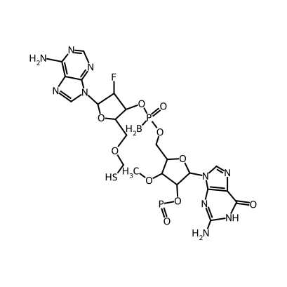 BP(=O)(OCC1OC(n2cnc3c(=O)[nH]c(N)nc32)C(OP=O)C1OC)OC1C(COCS)OC(n2cnc3c(N)ncnc32)C1F